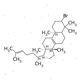 CC(C)=CCC[C@@H](C)[C@H]1CC[C@@]2(C)C3=C(CC[C@]12C)[C@@]1(C)CCC(Br)C(C)(C)C1CC3